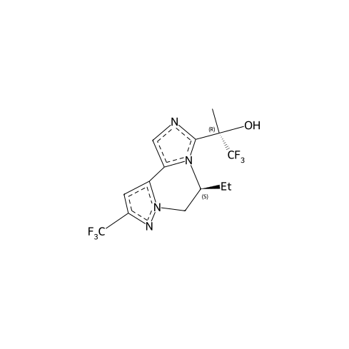 CC[C@H]1Cn2nc(C(F)(F)F)cc2-c2cnc([C@@](C)(O)C(F)(F)F)n21